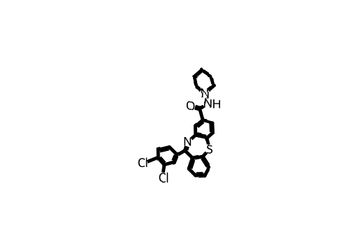 O=C(NN1CCCCC1)c1ccc2c(c1)N=C(c1ccc(Cl)c(Cl)c1)c1ccccc1S2